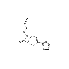 C=CCON1C(=O)N2CC(n3nccn3)=CC1C2